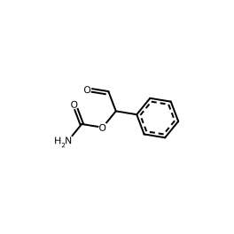 NC(=O)OC(C=O)c1ccccc1